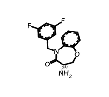 N[C@H]1COc2ccccc2N(Cc2cc(F)cc(F)c2)C1=O